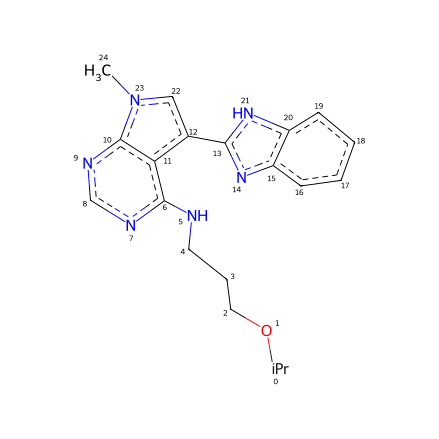 CC(C)OCCCNc1ncnc2c1c(-c1nc3ccccc3[nH]1)cn2C